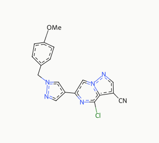 COc1ccc(Cn2cc(-c3cn4ncc(C#N)c4c(Cl)n3)cn2)cc1